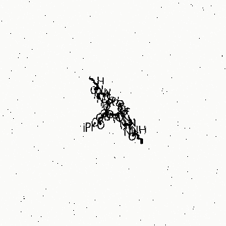 C=CCCC(=O)Nc1ncnc2c1ncn2[C@@H]1O[C@@H]2COCO[C@H]3[C@@H](F)[C@H](n4cnc5c(NC(=O)CCC=C)ncnc54)O[C@@H]3COP(=O)(OCOC(=O)OC(C)C)CO[C@H]2[C@H]1F